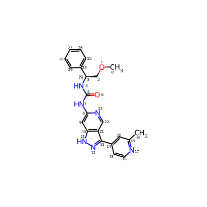 COC[C@@H](NC(=O)Nc1cc2[nH]nc(-c3ccnc(C)c3)c2cn1)c1ccccc1